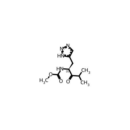 COC(=O)N[C@@H](Cc1cnn[nH]1)C(=O)C(C)C